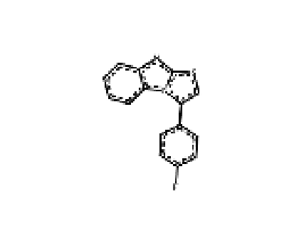 Fc1ccc(-c2csc3nc4ccccc4n23)cc1